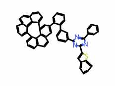 c1ccc(-c2nc(-c3cccc(-c4ccccc4-c4cc5ccc6cccc7c8cccc9ccc%10cccc(c(c4)c5c67)c%10c98)c3)nc(-c3cc4ccccc4s3)n2)cc1